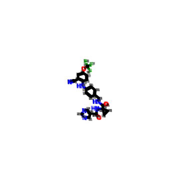 N#Cc1cc(OC(F)(F)F)ccc1Nc1ccc(CNC(=O)C2(NC(=O)c3cncnc3)CC2)cc1